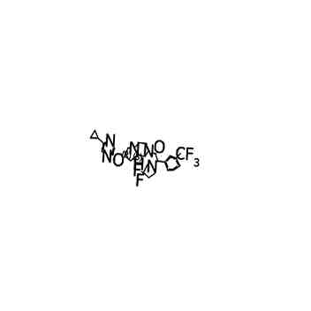 O=C(C(c1cccc(C(F)(F)F)c1)N1CCC(F)(F)C1)N1CCN2C[C@H](Oc3cnc(C4CC4)cn3)C[C@H]2C1